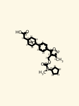 Cc1noc(-c2ccc(C34CCC(CC(=O)O)(CC3)OC4)cc2)c1COC(=O)N(C)C1CCCC1